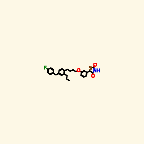 CCCc1cc(Cc2ccc(F)cc2)ccc1CCCCOc1cccc(C2SC(=O)NC2=O)c1